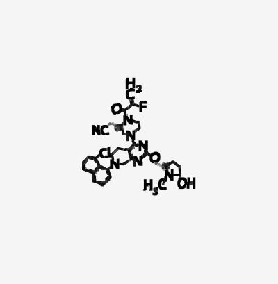 C=C(F)C(=O)N1CCN(c2nc(OC[C@@H]3CCC(O)N3C)nc3c2CCN(c2cccc4cccc(Cl)c24)C3)C[C@@H]1CC#N